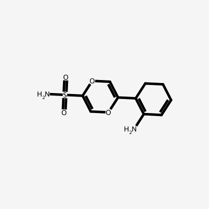 NC1=C(C2=COC(S(N)(=O)=O)=CO2)CCC=C1